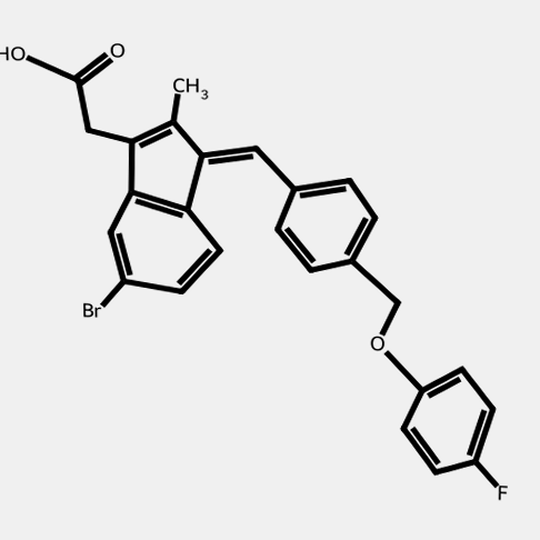 CC1=C(CC(=O)O)c2cc(Br)ccc2/C1=C\c1ccc(COc2ccc(F)cc2)cc1